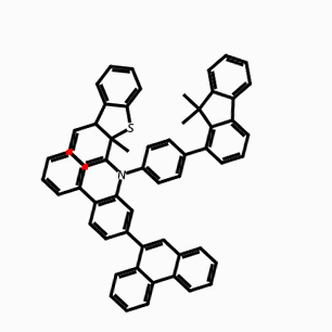 CC1(C)c2ccccc2-c2cccc(-c3ccc(N(C4=CC=CC5c6ccccc6SC45C)c4cc(-c5cc6ccccc6c6ccccc56)ccc4-c4ccccc4)cc3)c21